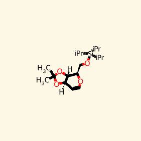 CC(C)[Si](OC[C@H]1OC=C[C@H]2OC(C)(C)O[C@H]21)(C(C)C)C(C)C